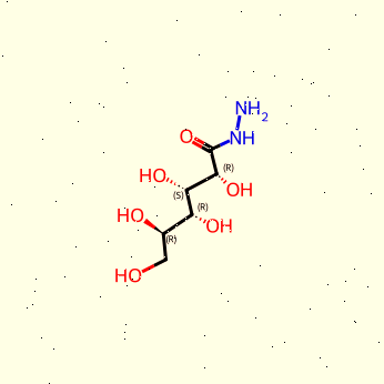 NNC(=O)[C@H](O)[C@@H](O)[C@H](O)[C@H](O)CO